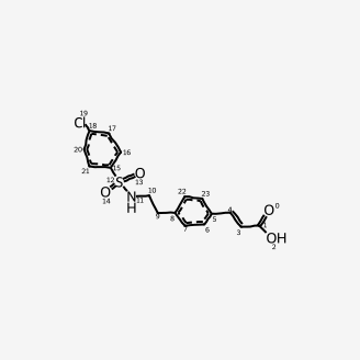 O=C(O)C=Cc1ccc(CCNS(=O)(=O)c2ccc(Cl)cc2)cc1